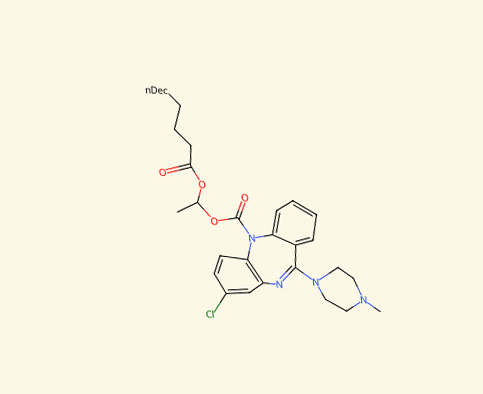 CCCCCCCCCCCCCC(=O)OC(C)OC(=O)N1c2ccc(Cl)cc2N=C(N2CCN(C)CC2)c2ccccc21